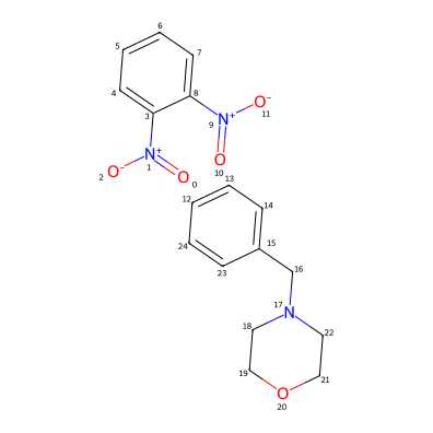 O=[N+]([O-])c1ccccc1[N+](=O)[O-].c1ccc(CN2CCOCC2)cc1